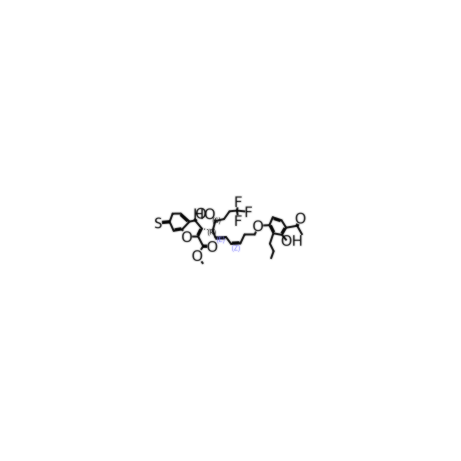 CCCc1c(OCC/C=C\C=C\[C@H](c2c(C(=O)OC)oc3c(c2=O)=CCC(=S)C=3)[C@@H](O)CCC(F)(F)F)ccc(C(C)=O)c1O